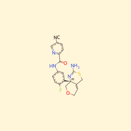 [C-]#[N+]c1ccc(C(=O)Nc2ccc(F)c([C@]34COCC=C3CSC(N)=N4)c2)nc1